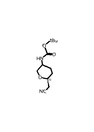 CC(C)(C)OC(=O)NC1CC[C@@H](CC#N)OC1